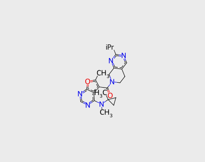 Cc1oc2ncnc(N(C)C3(C)CC3)c2c1C(=O)N1CCc2cnc(C(C)C)nc2C1